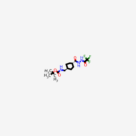 CC(C)(C)OC(=O)NC[C@H]1CC[C@H](C(=O)NNC(=O)C(F)(F)F)CC1